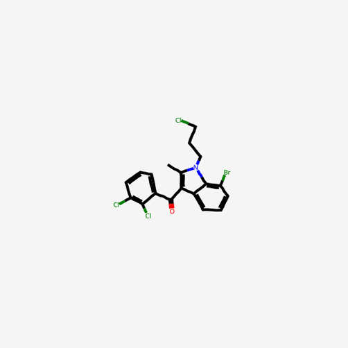 Cc1c(C(=O)c2cccc(Cl)c2Cl)c2cccc(Br)c2n1CCCCl